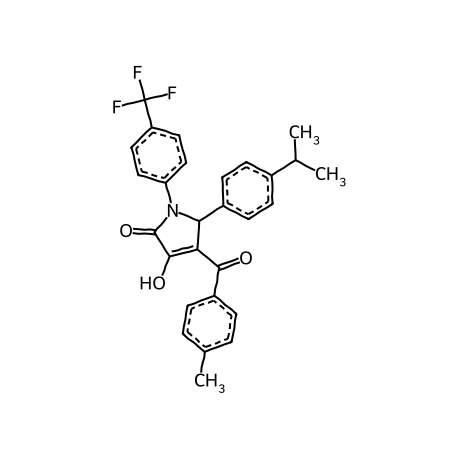 Cc1ccc(C(=O)C2=C(O)C(=O)N(c3ccc(C(F)(F)F)cc3)C2c2ccc(C(C)C)cc2)cc1